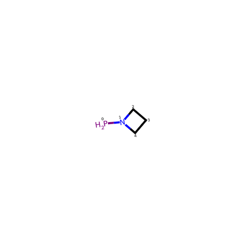 PN1CCC1